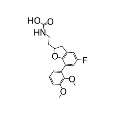 COc1cccc(-c2cc(F)cc3c2OC(CCNC(=O)O)C3)c1OC